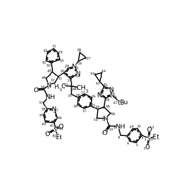 CCS(=O)(=O)c1ccc(CNC(=O)N2CC(c3ccc(CC(C)(C)c4nn(C5CC5)cc4C4CN(C(=O)NCc5ccc(S(=O)(=O)CC)cn5)CC4c4ccccc4)cc3)C(c3nc(C4CC4)nn3C(C)(C)C)C2)cc1